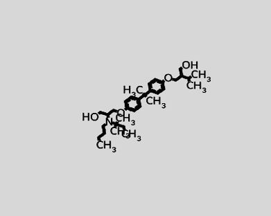 CCCCN(C(CO)COc1ccc(C(C)(C)c2ccc(OCC(CO)C(C)C)cc2)cc1)C(C)(C)CC